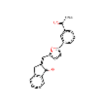 COC(=O)c1cccc(-c2ccc(C=C3Cc4ccccc4C3=O)o2)c1